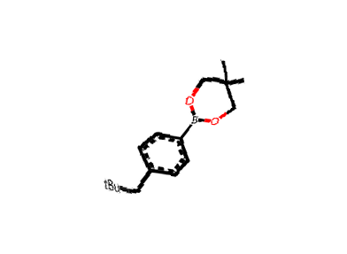 CC(C)(C)Cc1ccc(B2OCC(C)(C)CO2)cc1